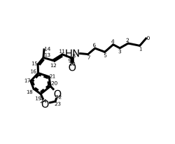 CCCCCCCCNC(=O)C=CC(C)=Cc1ccc2c(c1)OCO2